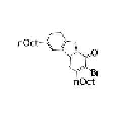 CCCCCCCCC1=C(Br)C(=O)C2=Cc3ccc(CCCCCCCC)cc3C2=C1